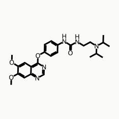 COc1cc2ncnc(Oc3ccc(NC(=O)NCCN(C(C)C)C(C)C)cc3)c2cc1OC